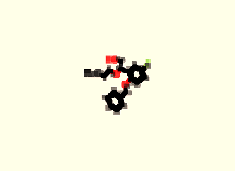 COCCO[C@@H](CO)c1cc(F)ccc1OCc1ccccc1